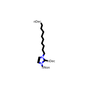 CCCCCCCCCCCCCCCCCCCN1C=CN(CCCCCCCCC)C1CCCCCCCCCC